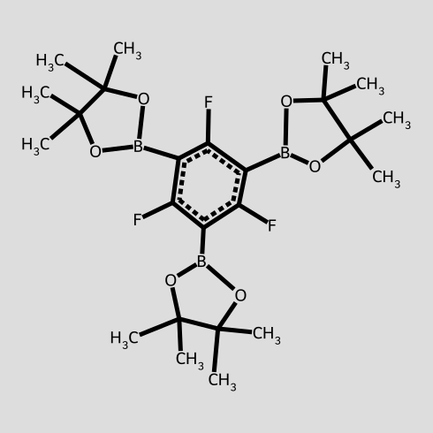 CC1(C)OB(c2c(F)c(B3OC(C)(C)C(C)(C)O3)c(F)c(B3OC(C)(C)C(C)(C)O3)c2F)OC1(C)C